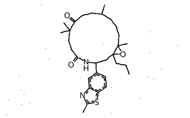 CCCC12CC(c3ccc4sc(C)nc4c3)NC(=O)CCC(C)(C)C(=O)CCC(C)CCCC1(C)O2